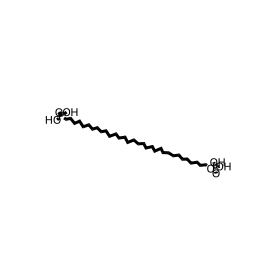 O=P(O)(O)CCCCCCCCCCCCCCCCCCCCCCCCCCCCCCCCOP(=O)(O)O